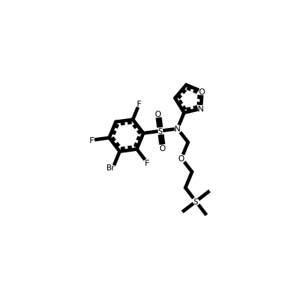 CS(C)(C)CCOCN(c1ccon1)S(=O)(=O)c1c(F)cc(F)c(Br)c1F